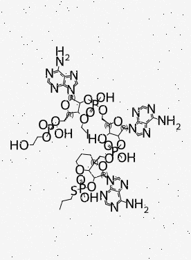 CCCSP(=O)(O)OC1C2OCCC[C@]2(COP(=O)(O)OC2C(O)[C@@H](COP(=O)(O)OC3C(OCI)[C@@H](COP(=O)(O)OCCO)O[C@H]3n3cnc4c(N)ncnc43)O[C@H]2n2cnc3c(N)ncnc32)O[C@H]1n1cnc2c(N)ncnc21